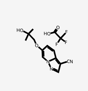 CC(C)(O)COc1ccc2c(C#N)cnn2c1.O=C(O)C(F)(F)F